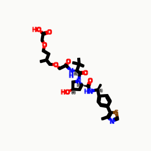 Cc1ncsc1-c1ccc([C@H](C)NC(=O)[C@@H]2C[C@@H](O)CN2C(=O)[C@@H](NC(=O)COCC(C)CCOCC(=O)O)C(C)(C)C)cc1